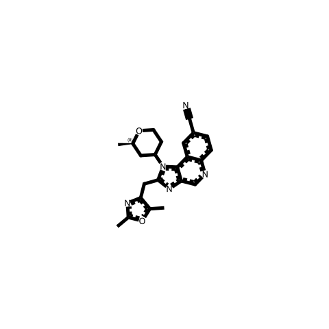 Cc1nc(Cc2nc3cnc4ccc(C#N)cc4c3n2C2CCO[C@H](C)C2)c(C)o1